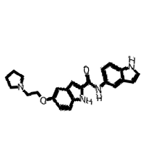 O=C(Nc1ccc2[nH]ccc2c1)c1cc2cc(OCCN3CCCC3)ccc2[nH]1